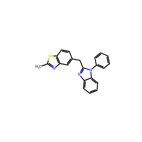 Cc1nc2cc(Cc3nc4ccccc4n3-c3ccccc3)ccc2s1